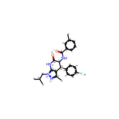 Cc1cccc(C(=O)NC2C(=O)Nc3c(c(C)nn3CC(C)C)[C@@H]2c2ccc(F)cc2)c1